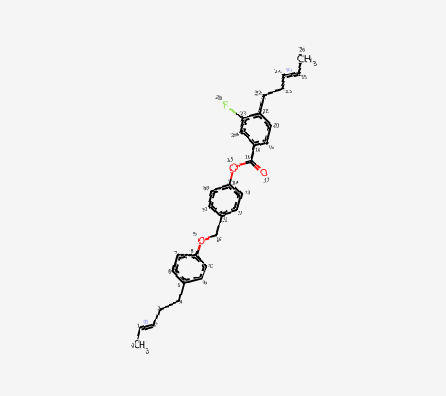 C/C=C/CCc1ccc(OCc2ccc(OC(=O)c3ccc(CC/C=C/C)c(F)c3)cc2)cc1